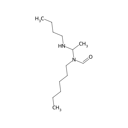 CCCCCCN(C=O)C(C)NCCCC